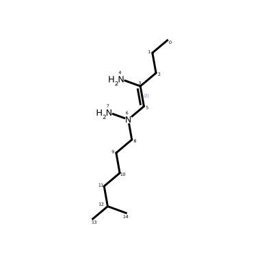 CCC/C(N)=C/N(N)CCCCC(C)C